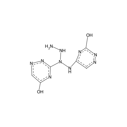 NNN(Nc1cnnc(O)n1)c1nncc(O)n1